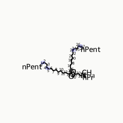 CCCCC/C=C\C/C=C\CCCCCCCCC1(CCCCCCCC/C=C\C/C=C\CCCCC)OCC(CCN(C)CCC)O1